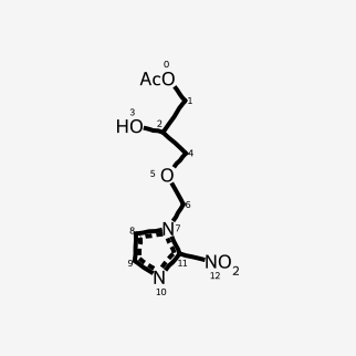 CC(=O)OCC(O)COCn1ccnc1[N+](=O)[O-]